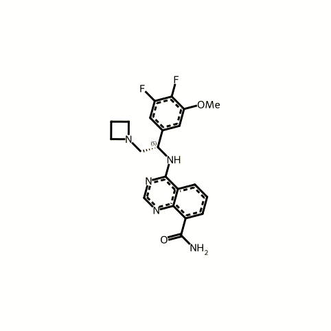 COc1cc([C@@H](CN2CCC2)Nc2ncnc3c(C(N)=O)cccc23)cc(F)c1F